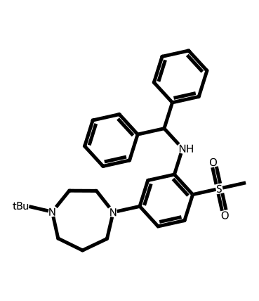 CC(C)(C)N1CCCN(c2ccc(S(C)(=O)=O)c(NC(c3ccccc3)c3ccccc3)c2)CC1